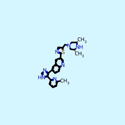 Cc1cccc(-c2[nH]cnc2-c2ccc3ncc(-c4ncc(CN5C[C@@H](C)N[C@@H](C)C5)s4)cc3c2)n1